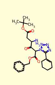 CC(C)(C)OC(=O)CC(N)C(=O)C(C(=O)OCc1ccccc1)n1nnnc1C1=CCCCC1